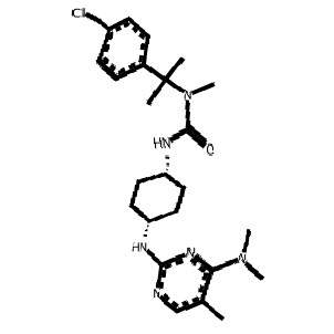 Cc1cnc(N[C@H]2CC[C@@H](NC(=O)N(C)C(C)(C)c3ccc(Cl)cc3)CC2)nc1N(C)C